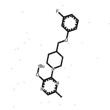 Cc1cnc(OC(C)(C)C)c(N2CCC(COc3cccc(F)c3)CC2)n1